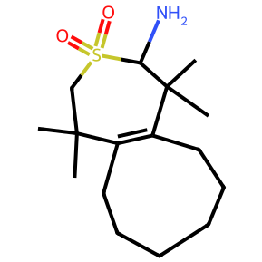 CC1(C)CS(=O)(=O)C(N)C(C)(C)C2=C1CCCCCC2